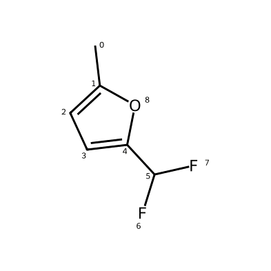 Cc1ccc(C(F)F)o1